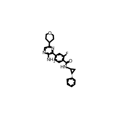 Nc1ncc(C2CCOCC2)nc1-c1ccc(C(=O)NC2C[C@@H]2c2ccccc2)c(F)c1